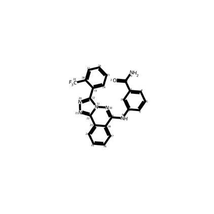 NC(=O)c1cccc(Nc2nn3c(-c4ccccc4C(F)(F)F)nnc3c3ccccc23)c1